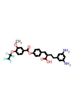 COc1cc(C(=O)Oc2ccc(C=C(CCc3cc(N)cc(N)c3)C(=O)O)cc2)ccc1OC(F)(F)C(F)F